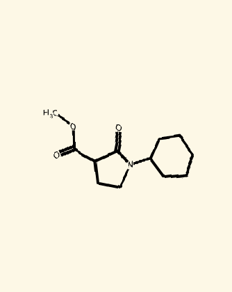 COC(=O)C1CCN(C2CCCCC2)C1=O